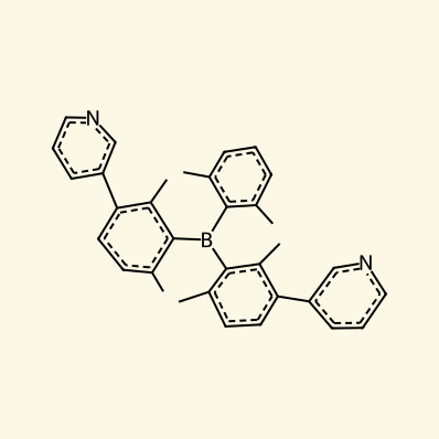 Cc1cccc(C)c1B(c1c(C)ccc(-c2cccnc2)c1C)c1c(C)ccc(-c2cccnc2)c1C